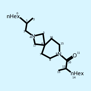 CCCCCCC(C)CN1CC2(CCN(C(=O)C(C)CCCCCC)CC2)C1